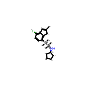 CC1=Cc2c(F)ccc([Si](C)(C)[Si](C)(C)NC3CCCC3)c2C1